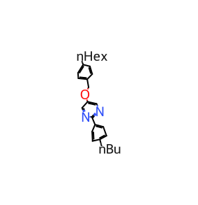 CCCCCCc1ccc(COc2cnc(-c3ccc(CCCC)cc3)nc2)cc1